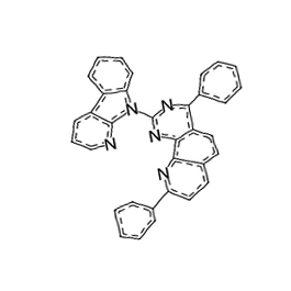 c1ccc(-c2ccc3ccc4c(-c5ccccc5)nc(-n5c6ccccc6c6cccnc65)nc4c3n2)cc1